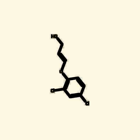 OCC=COc1ccc(Cl)cc1Cl